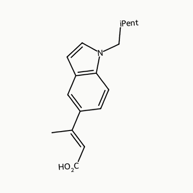 CCCC(C)Cn1ccc2cc(C(C)=CC(=O)O)ccc21